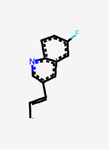 [CH2]C=Cc1cnc2ccc(F)cc2c1